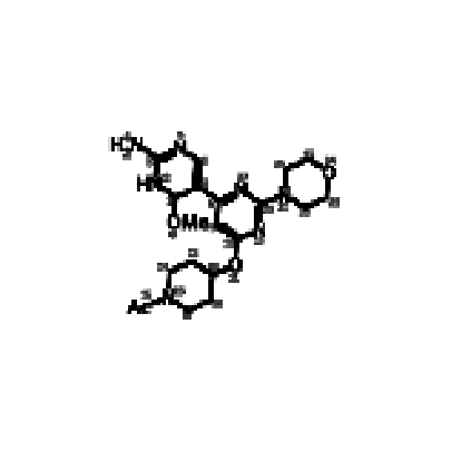 COC1NC(N)=NC=C1c1cc(OC2CCN(C(C)=O)CC2)nc(N2CCOCC2)n1